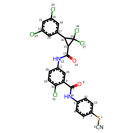 N#CSc1ccc(NC(=O)c2cc(NC(=O)C3C(c4cc(Cl)cc(Cl)c4)C3(Cl)Cl)ccc2Cl)cc1